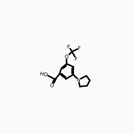 O=C(O)c1cc(OC(F)(F)F)cc(N2CCCC2)c1